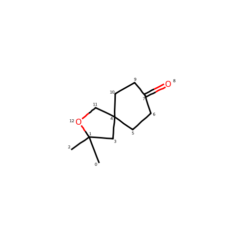 CC1(C)CC2(CCC(=O)CC2)CO1